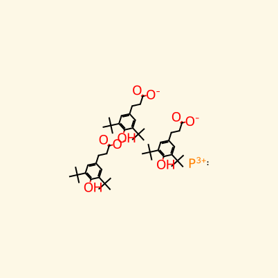 CC(C)(C)c1cc(CCC(=O)[O-])cc(C(C)(C)C)c1O.CC(C)(C)c1cc(CCC(=O)[O-])cc(C(C)(C)C)c1O.CC(C)(C)c1cc(CCC(=O)[O-])cc(C(C)(C)C)c1O.[P+3]